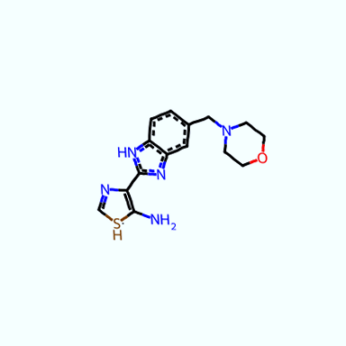 NC1=C(c2nc3cc(CN4CCOCC4)ccc3[nH]2)N=C[SH]1